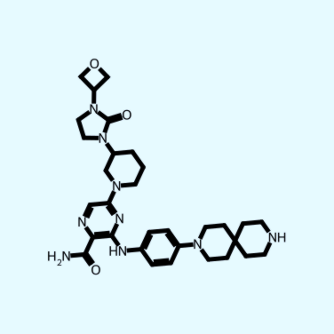 NC(=O)c1ncc(N2CCCC(N3CCN(C4COC4)C3=O)C2)nc1Nc1ccc(N2CCC3(CCNCC3)CC2)cc1